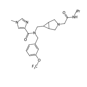 CC(C)NC(=O)CN1CC2C(C1)C2CN(Cc1cccc(OC(F)(F)F)c1)C(=O)c1cn(C)cn1